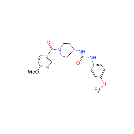 COc1ccc(C(=O)N2CCC(NC(=O)Nc3ccc(OC(F)(F)F)cc3)CC2)cn1